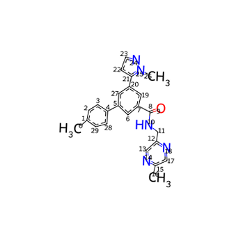 Cc1ccc(-c2cc(C(=O)NCc3cnc(C)cn3)cc(-c3ccnn3C)c2)cc1